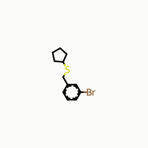 Brc1cccc(CSC2CCCC2)c1